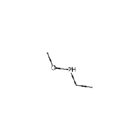 CCPOC